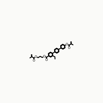 C=C(C)C(=O)OCCCOC(=O)c1ccc(-c2ccc(-c3ccc(OC(=O)C(=C)C)cc3)cc2)c(CC)c1